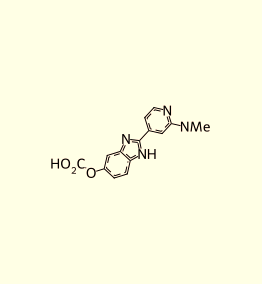 CNc1cc(-c2nc3cc(OC(=O)O)ccc3[nH]2)ccn1